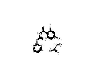 CC(NC(=O)Oc1ncccn1)c1ccc(C(F)(F)F)cc1Cl.CCC(=O)OC(C)C